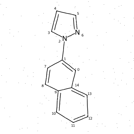 [c]1c(-n2cccn2)ccc2ccccc12